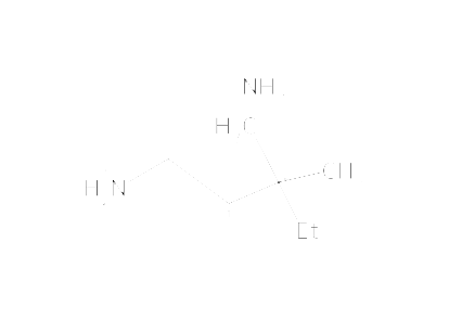 CCC(C)(C)CCN.N